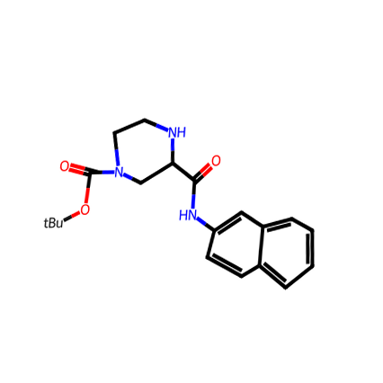 CC(C)(C)OC(=O)N1CCNC(C(=O)Nc2ccc3ccccc3c2)C1